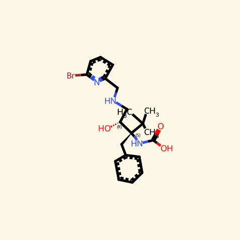 CC(C)(C)[C@](Cc1ccccc1)(NC(=O)O)[C@H](O)CNCc1cccc(Br)n1